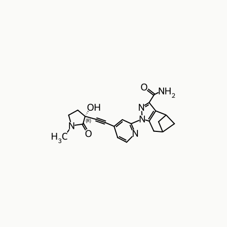 CN1CC[C@@](O)(C#Cc2ccnc(-n3nc(C(N)=O)c4c3CC3CC4C3)c2)C1=O